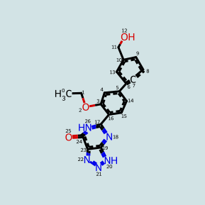 CCOc1cc(-c2cccc(CO)c2)ccc1-c1nc2[nH]nnc2c(=O)[nH]1